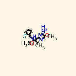 CCc1c(-c2ncc(OC)c(N)n2)nn(Cc2ccccc2F)c1OC